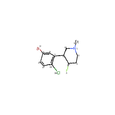 CCN1CCC(F)C(c2cc(Br)ccc2Cl)C1